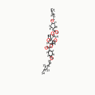 CCC1C2C(COc3ccc(C(=O)O[C@H]4CO[C@H]5[C@@H]4OC[C@H]5OC(=O)c4ccc(OCCC5C6C(C)C56)cc4)cc3)C12